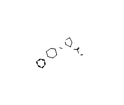 CC(C)(C)OC(=O)N[C@H]1CCN(C(=O)O)[C@H]1CO[C@H]1CC[C@@H](c2ccccc2)CC1